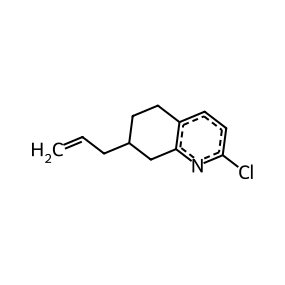 C=CCC1CCc2ccc(Cl)nc2C1